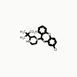 CC(C)(C(=O)O)C1CN(C2=Nc3cc(Cl)ccc3Oc3ccccc32)CCN1